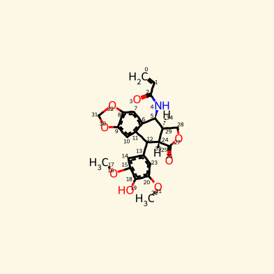 C=CC(=O)N[C@@H]1c2cc3c(cc2C(c2cc(OC)c(O)c(OC)c2)[C@H]2C(=O)OC[C@H]12)OCO3